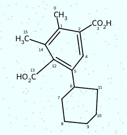 Cc1c(C(=O)O)cc(C2CCCCC2)c(C(=O)O)c1C